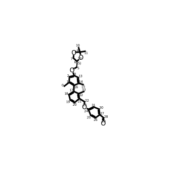 Cc1cc(OC[C@H]2COC(C)(C)O2)cc(C)c1-c1cccc(COc2ccc(C=O)cc2)c1C